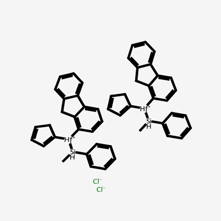 C[SiH](c1ccccc1)[Hf+]([C]1=CC=CC1)[c]1cccc2c1Cc1ccccc1-2.C[SiH](c1ccccc1)[Hf+]([C]1=CC=CC1)[c]1cccc2c1Cc1ccccc1-2.[Cl-].[Cl-]